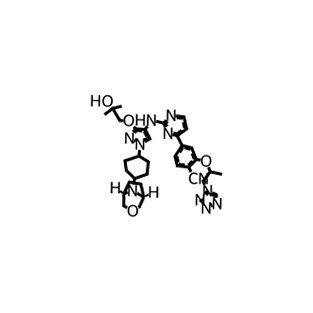 CC(Cn1cnnn1)Oc1cc(-c2ccnc(Nc3cn(C4CCC(N5[C@@H]6CC[C@H]5COC6)CC4)nc3OCC(C)(C)O)n2)ccc1C#N